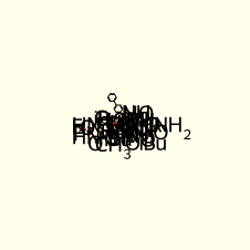 CC[C@H](C)[C@H](NC(=O)[C@H](N)Cc1ccc(-c2ccccc2)cc1)C(=O)N[C@@H](CO)C(=O)N[C@H](CCC(N)=O)C(=O)N[C@@H](C(=O)N[C@H](C(=O)N[C@@H](CO)C(=O)N[C@H]1C(=O)N[C@@H](C)C(=O)N[C@@]2(C[C@H]2CC(F)F)C(=O)N[C@@H]([C@@H](C)CC)C(=O)O[C@H]1C)[C@@H](C)CC)[C@@H](C)CC